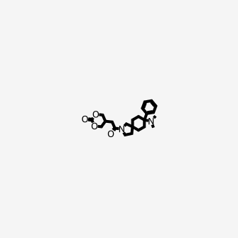 CN(C)C1(c2ccccc2)CCC2(CCN(C(=O)CC3COC(=O)OC3)C2)CC1